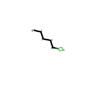 CCCC[CH]Cl